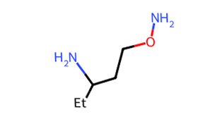 CCC(N)CCON